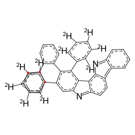 [2H]c1c([2H])c([2H])c(-c2cc3c(c(-c4c([2H])c([2H])c([2H])c([2H])c4[2H])c2-c2ccccc2-c2ccccc2)-c2c4c(ccc2=N3)=c2ccccc2=N4)c([2H])c1[2H]